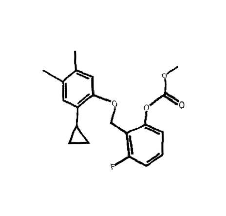 COC(=O)Oc1cccc(F)c1COc1cc(C)c(C)cc1C1CC1